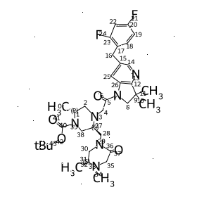 C[C@@H]1CN(CC(=O)N2CC(C)(C)c3ncc(Cc4ccc(F)cc4F)cc32)[C@@H](CN2C[C@H](C)N(C)CC2=O)CN1C(=O)OC(C)(C)C